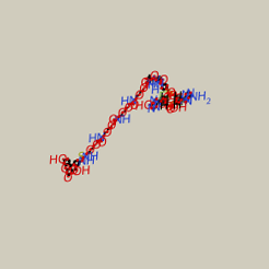 CC(C)[C@H](NC(=O)COCCOCCNC(=O)COCCOCCNC(=O)COCCOCCNC(=O)COCCOCCNC(=S)Nc1ccc(-c2c3ccc(=O)cc-3oc3cc(O)ccc23)c(C(=O)O)c1)C(=O)N[C@@H](C)C(=O)Nc1ccc(CSP2(=O)OC[C@H]3O[C@@H](n4cnc5c(N)ncnc54)[C@H](F)[C@@H]3OP(=O)(O)OC[C@H]3O[C@@H](n4cnc5c(O)ncnc54)[C@H](F)[C@@H]3O2)cc1